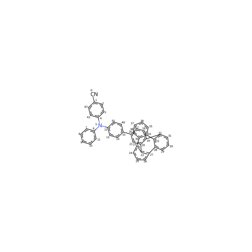 N#Cc1ccc(N(c2ccccc2)c2ccc(-c3ccc4c(c3)-c3c5cccc3-c3cccc-4c3-c3ccccc3-5)cc2)cc1